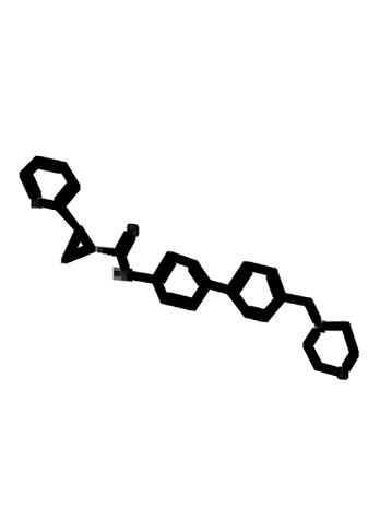 O=C(Nc1ccc(-c2ccc(CN3CCOCC3)cc2)cc1)[C@@H]1C[C@H]1c1ccccn1